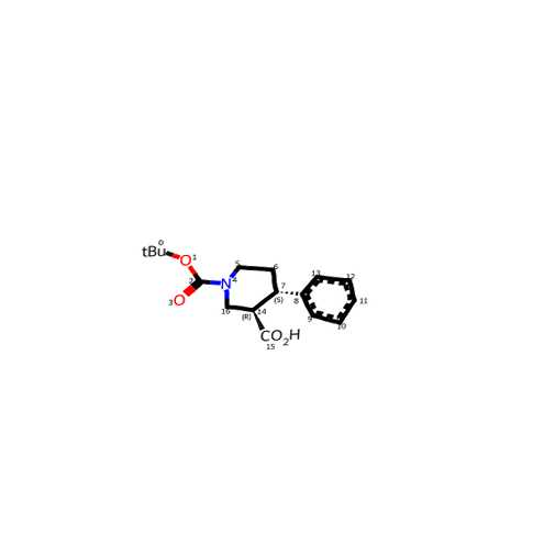 CC(C)(C)OC(=O)N1CC[C@H](c2ccccc2)[C@@H](C(=O)O)C1